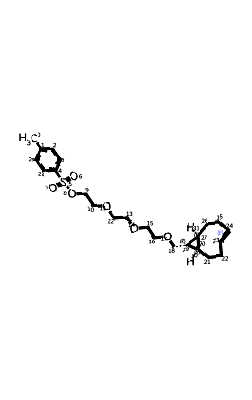 Cc1ccc(S(=O)(=O)OCCOCCOCCOC[C@H]2[C@@H]3CC/C=C/CC[C@@H]32)cc1